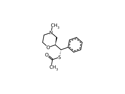 CC(=O)S[C@@H](c1ccccc1)[C@@H]1CN(C)CCO1